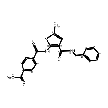 COC(=O)c1ccc(C(=O)Nc2sc(C)cc2C(=O)NCc2ccccc2)cc1